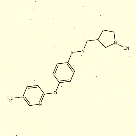 N#CN1CCC(CNSc2ccc(Oc3ccc(C(F)(F)F)cn3)cc2)C1